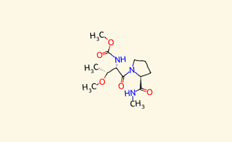 CNC(=O)[C@@H]1CCCN1C(=O)[C@@H](NC(=O)OC)[C@@H](C)OC